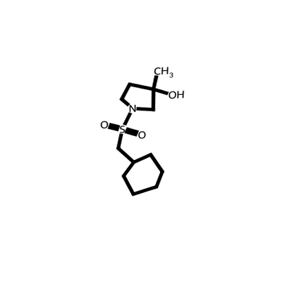 CC1(O)CCN(S(=O)(=O)C[C]2CCCCC2)C1